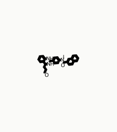 N=C(CCC=O)c1ccccc1NCc1ccc(N(I)C(=O)c2ccc3ccccc3c2)cc1